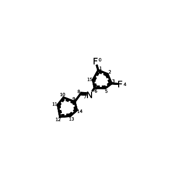 Fc1cc(F)cc(N=Cc2ccccc2)c1